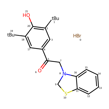 Br.CC(C)(C)c1cc(C(=O)CN2CSc3ccccc32)cc(C(C)(C)C)c1O